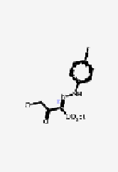 CCOC(=O)/C(=N\Nc1ccc(F)cc1)C(=O)CCl